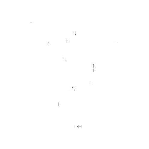 CC(C)(O)C(F)CNC(=O)c1cnc(-n2ncc3cc(F)cnc32)cc1NC1CCOCC1